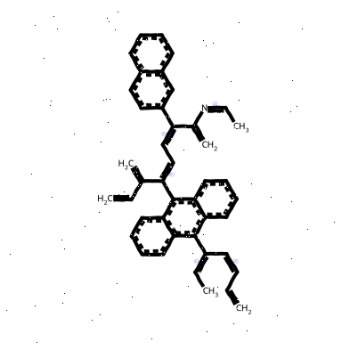 C=C/C=C\C(=C/C)c1c2ccccc2c(/C(=C/C=C(\C(=C)/N=C\C)c2ccc3ccccc3c2)C(=C)C=C)c2ccccc12